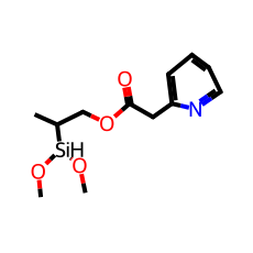 CO[SiH](OC)C(C)COC(=O)Cc1ccccn1